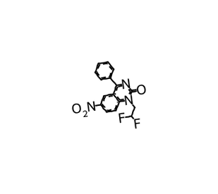 O=c1nc(-c2ccccc2)c2cc([N+](=O)[O-])ccc2n1CC(F)F